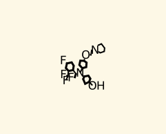 C=C(c1ccc(F)cc1C(F)(F)F)N(c1ccc(O)cc1)c1ccc(OCCN2CCCCC2)cc1